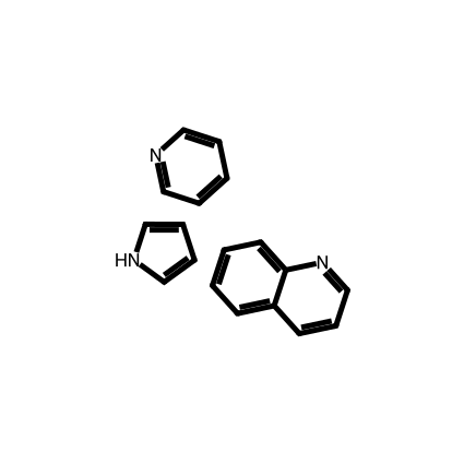 c1cc[nH]c1.c1ccc2ncccc2c1.c1ccncc1